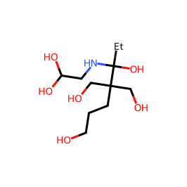 CCC(O)(NCC(O)O)C(CO)(CO)CCCO